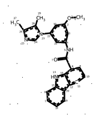 COc1cc(NC(=O)c2cccc3c2[nH]c2ccccc23)cc(-n2cnc(C)c2C)c1